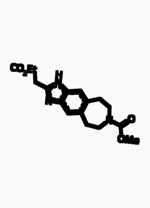 CCOC(=O)Cc1nc2cc3c(cc2[nH]1)CCN(C(=O)OC)CC3